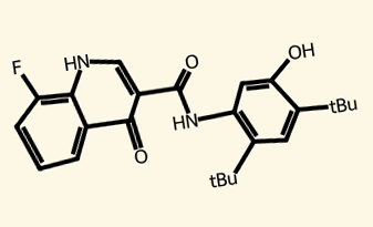 CC(C)(C)c1cc(C(C)(C)C)c(NC(=O)c2c[nH]c3c(F)cccc3c2=O)cc1O